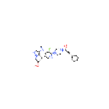 C=Nc1cnn2cc(OC)cc(-c3cnc(N4CCN(C(=O)C#Cc5ccccc5)CC4)c(F)c3)c12